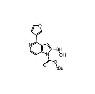 CC(C)(C)OC(=O)n1c(BO)cc2c(-c3ccoc3)nccc21